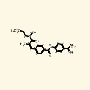 CCOC(=O)CCN(C(=O)C(C)=Cc1ccc(C(=O)Oc2ccc(C(=N)N)cc2)cc1)C(C)C